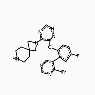 CC(C)c1ncncc1-c1cc(F)ccc1Oc1nncnc1N1CC2(CCNCC2)C1